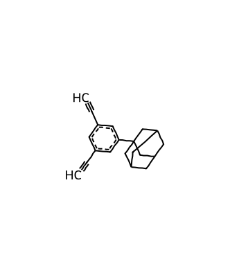 C#Cc1cc(C#C)cc(C23CC4CC(CC(C4)C2)C3)c1